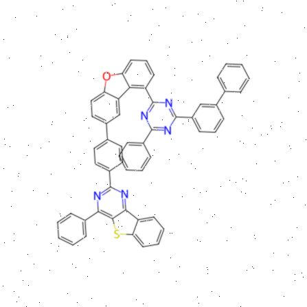 c1ccc(-c2cccc(-c3nc(-c4ccccc4)nc(-c4cccc5oc6ccc(-c7ccc(-c8nc(-c9ccccc9)c9sc%10ccccc%10c9n8)cc7)cc6c45)n3)c2)cc1